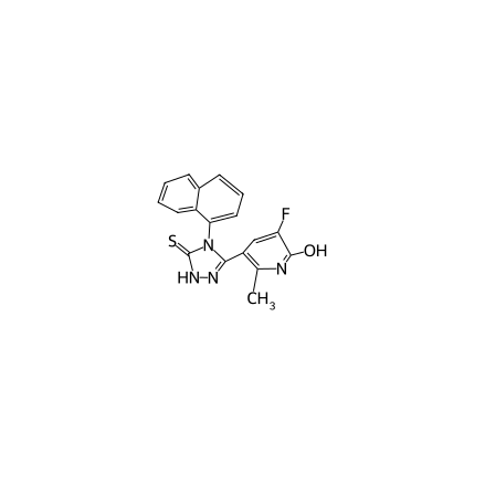 Cc1nc(O)c(F)cc1-c1n[nH]c(=S)n1-c1cccc2ccccc12